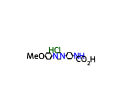 COc1ccc(N2CCN(c3ccc(NC(=O)O)cc3)CC2)cc1.Cl